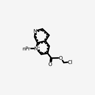 CCC[n+]1cc(C(=O)OCCl)cc2ccncc21